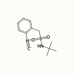 [C-]#[N+]c1ccccc1CS(=O)(=O)NC(C)(C)C